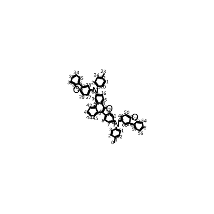 Cc1ccc(N(c2ccc3c(c2)oc2c4ccc(N(c5ccc(C)cc5)c5ccc6oc7ccccc7c6c5)cc4c4ccccc4c32)c2ccc3oc4ccccc4c3c2)cc1